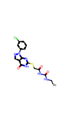 CC(C)CNC(=O)NC(=O)CSc1nc2c(cnn2-c2cccc(Cl)c2)c(=O)[nH]1